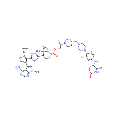 CC(C)n1nc(-c2noc(C3CC3)c2-c2ncc(C3CCN(C(=O)OCC(=O)N4CCC(CN5CCN(c6c(F)cc(NC7CCC(=O)NC7=O)cc6F)CC5)CC4)CC3(C)C)cn2)c2c(N)ncnc21